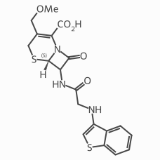 COCC1=C(C(=O)O)N2C(=O)C(NC(=O)CNc3csc4ccccc34)[C@@H]2SC1